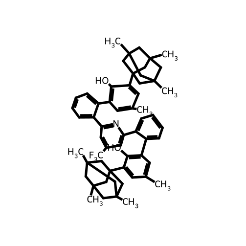 Cc1cc(-c2ccccc2-c2cc(C(F)(F)F)cc(-c3ccccc3-c3cc(C)cc(C45CC6(C)CC(C)(CC(C)(C6)C4)C5)c3O)n2)c(O)c(C23CC4(C)CC(C)(CC(C)(C4)C2)C3)c1